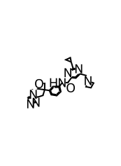 Cn1cnnc1CC1(c2cccc(NC(=O)c3cc(CN4CCC4)nc(C4CC4)n3)c2)COC1